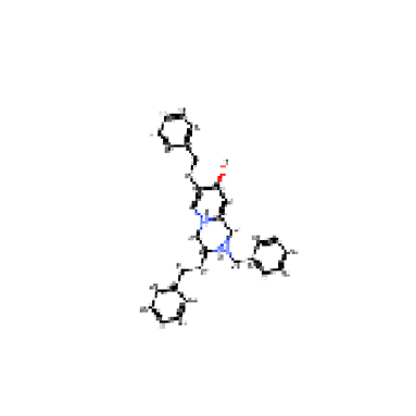 O=c1cc2n(cc1CCc1ccccc1)CC(CCc1ccccc1)N(Cc1ccccc1)C2